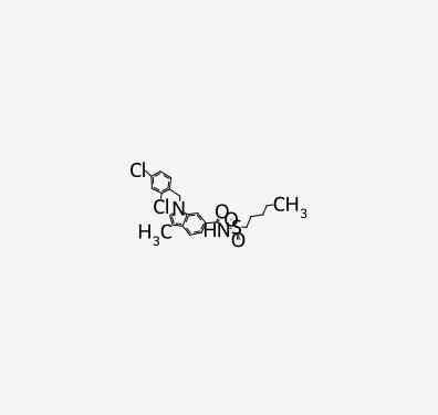 CCCCCS(=O)(=O)NC(=O)c1ccc2c(C)cn(Cc3ccc(Cl)cc3Cl)c2c1